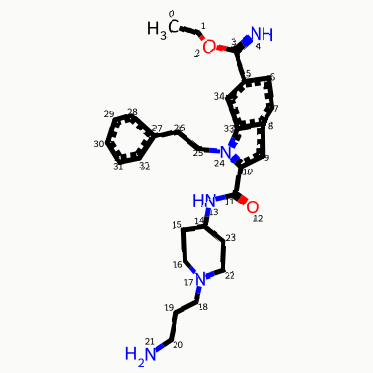 CCOC(=N)c1ccc2cc(C(=O)NC3CCN(CCCN)CC3)n(CCc3ccccc3)c2c1